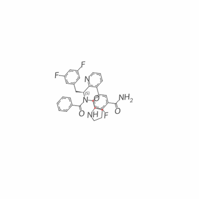 NC(=O)c1cc(-c2cccnc2[C@H](Cc2cc(F)cc(F)c2)N(C(=O)c2ccccc2)C(=O)C2CCCN2)ccc1F